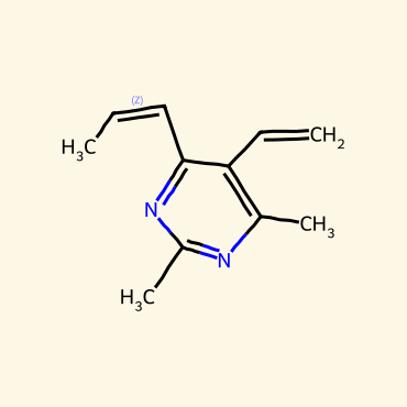 C=Cc1c(C)nc(C)nc1/C=C\C